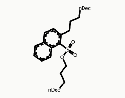 CCCCCCCCCCCCCOS(=O)(=O)c1c(CCCCCCCCCCCCC)ccc2ccccc12